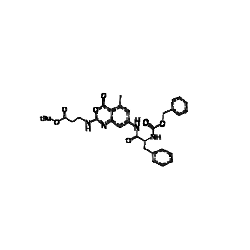 Cc1cc(NC(=O)[C@H](Cc2ccccc2)NC(=O)OCc2ccccc2)cc2nc(NCCC(=O)OC(C)(C)C)oc(=O)c12